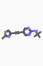 Cc1nc(C#Cc2cnc(NC(C)(C)C)nc2)cs1